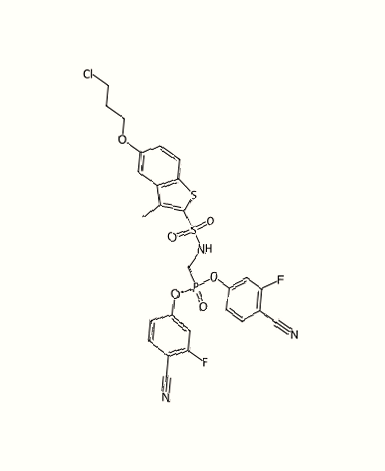 Cc1c(S(=O)(=O)NCP(=O)(Oc2ccc(C#N)c(F)c2)Oc2ccc(C#N)c(F)c2)sc2ccc(OCCCCl)cc12